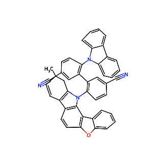 CC1C=Cc2c(n(-c3ccc(C#N)cc3-c3cc(C#N)ccc3-n3c4ccccc4c4ccccc43)c3c2ccc2oc4ccccc4c23)C1